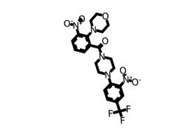 O=C(c1cccc([N+](=O)[O-])c1N1CCOCC1)N1CCN(c2ccc(C(F)(F)F)cc2[N+](=O)[O-])CC1